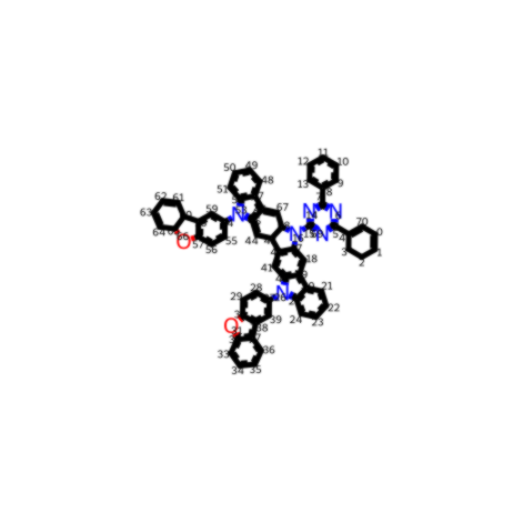 C1=CCCC(c2nc(-c3ccccc3)nc(N3c4cc5c6ccccc6n(-c6ccc7oc8ccccc8c7c6)c5cc4C4C=c5c(c6ccccc6n5-c5ccc6c(c5)C5C=CC=CC5O6)=CC43)n2)=C1